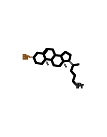 CC(C)CCCC(C)[C@H]1CCC2C3CC=C4C[C@@H](Br)CC[C@]4(C)C3CC[C@@]21C